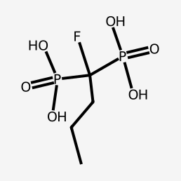 CCCC(F)(P(=O)(O)O)P(=O)(O)O